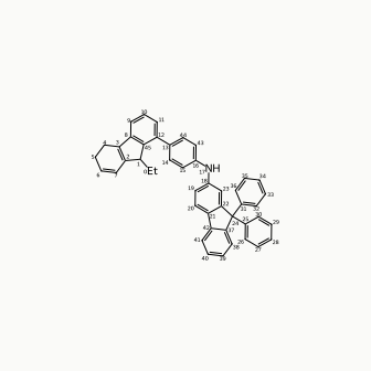 CCC1C2=C(CCC=C2)c2cccc(-c3ccc(Nc4ccc5c(c4)C(c4ccccc4)(c4ccccc4)c4ccccc4-5)cc3)c21